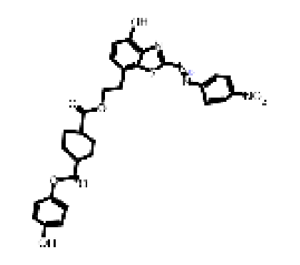 O=C(OCCc1ccc(O)c2nc(/N=N/c3ccc([N+](=O)[O-])cc3)sc12)C1CCC(C(=O)Oc2ccc(O)cc2)CC1